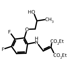 CCOC(=O)C(=CNc1ccc(F)c(F)c1OCC(C)O)C(=O)OCC